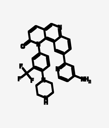 Nc1ccnc(-c2ccc3ncc4ccc(=O)n(-c5ccc(N6CCNCC6)c(C(F)(F)F)c5)c4c3c2)c1